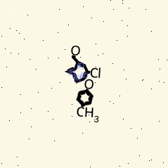 Cc1ccc(OC2=C(Cl)/C=C(C=O)\C=C\C=C\2)cc1